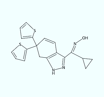 ON=C(c1n[nH]c2c1C=CC(c1cccs1)(c1cccs1)C2)C1CC1